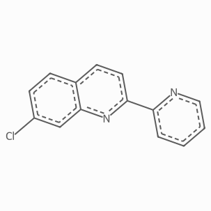 Clc1ccc2ccc(-c3ccccn3)nc2c1